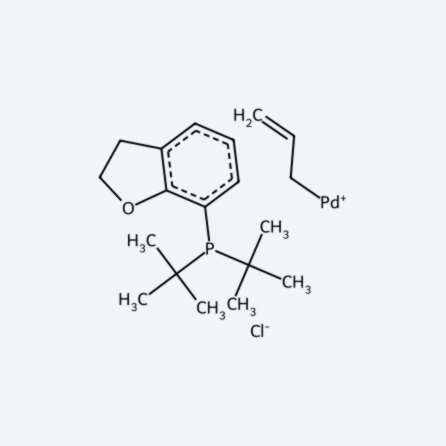 C=C[CH2][Pd+].CC(C)(C)P(c1cccc2c1OCC2)C(C)(C)C.[Cl-]